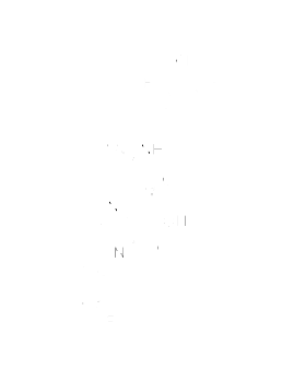 O=C(NCc1ccc(F)c(Cl)c1F)c1cn2c(c(O)c1=O)C(=O)N1CC2CCc2ccc(F)cc21